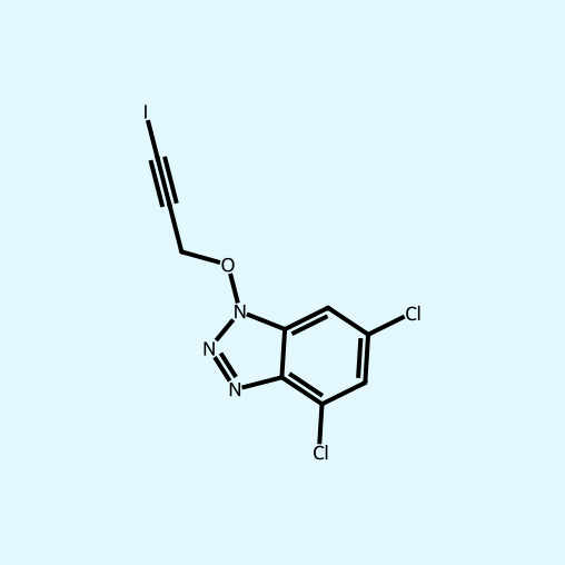 Clc1cc(Cl)c2nnn(OCC#CI)c2c1